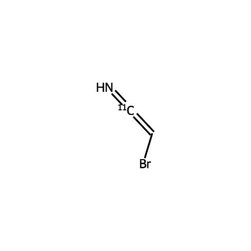 N=[11C]=CBr